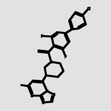 Cc1cc(C2CCCN(C(=O)c3c(F)cc(-c4ccc(Cl)cc4)cc3F)C2)n2ncnc2n1